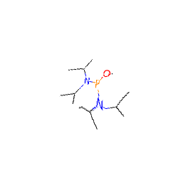 CC(C)N(C(C)C)P([O])N(C(C)C)C(C)C